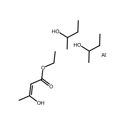 CCC(C)O.CCC(C)O.CCOC(=O)C=C(C)O.[Al]